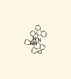 c1ccc(-c2ccc(-c3cccc4oc5cccc(C6=NC(c7cc8ccccc8c8ccccc78)=NC(c7ccccc7)N6)c5c34)cc2)cc1